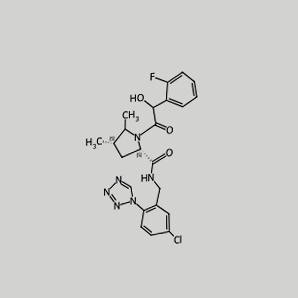 CC1[C@@H](C)C[C@@H](C(=O)NCc2cc(Cl)ccc2-n2cnnn2)N1C(=O)C(O)c1ccccc1F